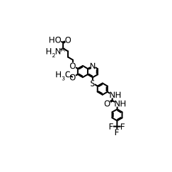 COc1cc2c(Sc3ccc(NC(=O)Nc4ccc(C(F)(F)F)cc4)cc3)ccnc2cc1OCCC[C@@H](N)C(=O)O